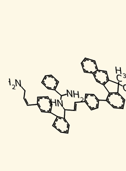 CC1(C)c2cc3ccccc3cc2-c2c(-c3ccc(/C=C/C(NC(N)c4ccccc4)c4ccccc4-c4cccc(/C=C\CN)c4)cc3)cccc21